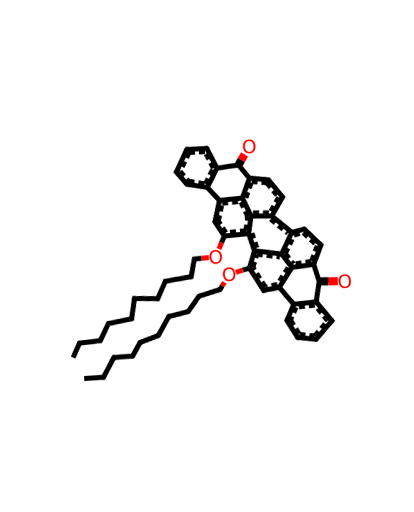 CCCCCCCCCCOc1cc2c3c(ccc4c5ccc6c7c(cc(OCCCCCCCCCC)c(c1c34)c75)-c1ccccc1C6=O)C(=O)c1ccccc1-2